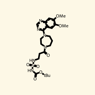 COc1cc2ncnc(N3CCCN(C(=O)CCNS(=O)(=O)NC(=O)OC(C)(C)C)CC3)c2cc1OC